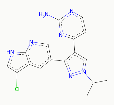 CC(C)n1cc(-c2ccnc(N)n2)c(-c2cnc3[nH]cc(Cl)c3c2)n1